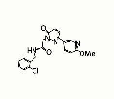 COc1ccc(-c2ccc(=O)n(CC(=O)NCc3ccccc3Cl)n2)cn1